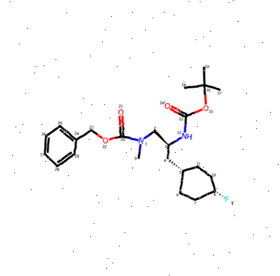 CN(C[C@H](C[C@H]1CC[C@@H](F)CC1)NC(=O)OC(C)(C)C)C(=O)OCc1ccccc1